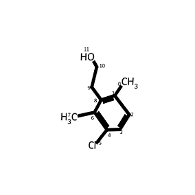 Cc1ccc(Cl)c(C)c1CCO